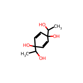 CC(O)C1(O)C=CC(O)(C(C)O)C=C1